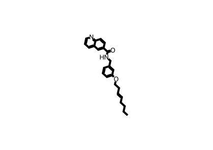 CCCC/C=C/CCOc1cccc(CNC(=O)c2ccc3ncccc3c2)c1